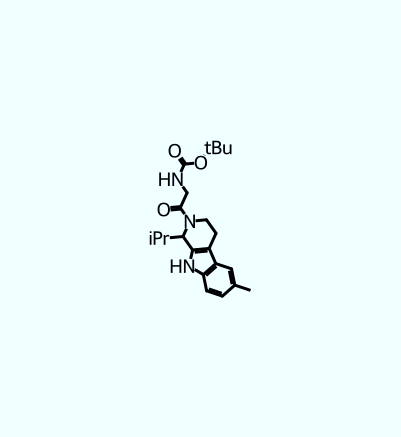 Cc1ccc2[nH]c3c(c2c1)CCN(C(=O)CNC(=O)OC(C)(C)C)C3C(C)C